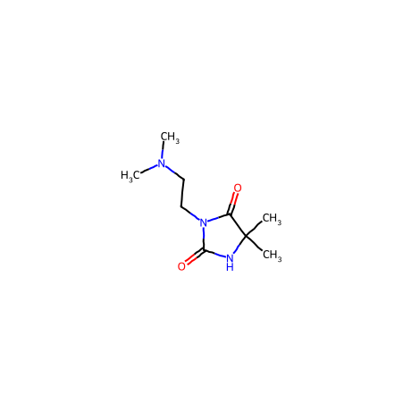 CN(C)CCN1C(=O)NC(C)(C)C1=O